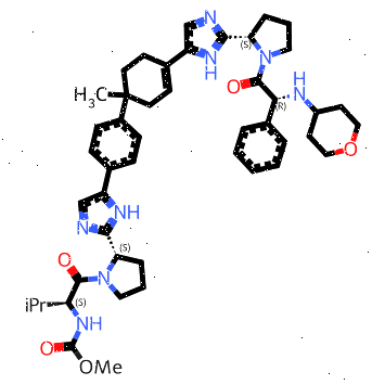 COC(=O)N[C@H](C(=O)N1CCC[C@H]1c1ncc(-c2ccc(C3(C)CC=C(c4cnc([C@@H]5CCCN5C(=O)[C@H](NC5CCOCC5)c5ccccc5)[nH]4)CC3)cc2)[nH]1)C(C)C